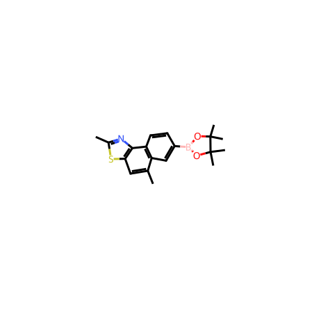 Cc1nc2c(cc(C)c3cc(B4OC(C)(C)C(C)(C)O4)ccc32)s1